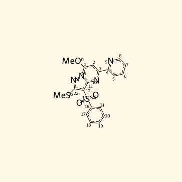 COc1cc(-c2ccccn2)nc2c(S(=O)(=O)c3ccccc3)c(SC)nn12